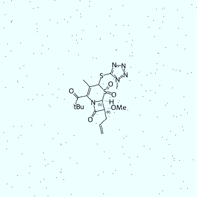 C=CC[C@@]1(OC)C(=O)N2C(C(=O)C(C)(C)C)=C(C)C(Sc3nnnn3C)S(=O)(=O)[C@H]21